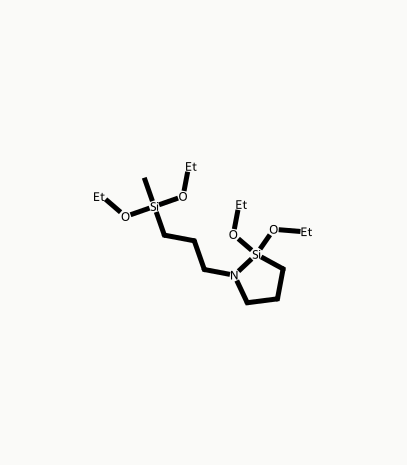 CCO[Si](C)(CCCN1CCC[Si]1(OCC)OCC)OCC